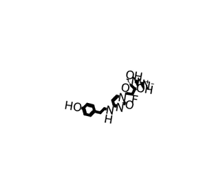 [N-]=[N+]=N[C@]1(CO)O[C@@H](n2ccc(NCCc3ccc(O)cc3)nc2=O)[C@@H](F)C1O